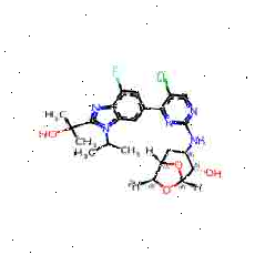 [2H][C@@H]1O[C@@H]2O[C@H]1C[C@@H](Nc1ncc(Cl)c(-c3cc(F)c4nc(C(C)(C)O)n(C(C)C)c4c3)n1)[C@@H]2O